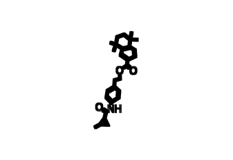 CC1CC1C(=O)Nc1ccc(CCOC(=O)c2ccc3c(c2)C(C)(C)CCC3(C)C)cc1